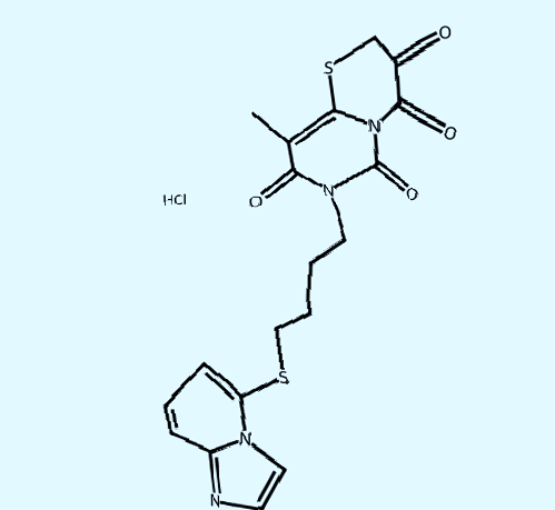 Cc1c2n(c(=O)n(CCCCSc3cccc4nccn34)c1=O)C(=O)C(=O)CS2.Cl